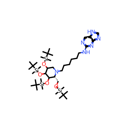 CC(C)(C)[Si](C)(C)OC[C@@H]1C(O[Si](C)(C)C(C)(C)C)C(O[Si](C)(C)C(C)(C)C)C(O[Si](C)(C)C(C)(C)C)CN1CCCCCCNc1ncc2[nH]cnc2n1